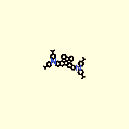 CC(C)c1ccc(N(c2ccc(C(C)C)cc2)c2ccc3cc4c(cc3c2)C2(c3ccccc3-c3ccccc32)c2cc3cc(N(c5ccc(C(C)C)cc5)c5ccc(C(C)C)cc5)ccc3cc2-4)cc1